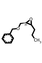 CCCC1O[C@@H]1COCc1ccccc1